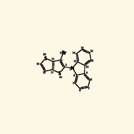 Brc1c(-n2c3ccccc3c3ccccc32)sc2ccsc12